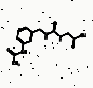 CC(=O)Nc1cccc(CNC(=O)NCC(=O)O)c1